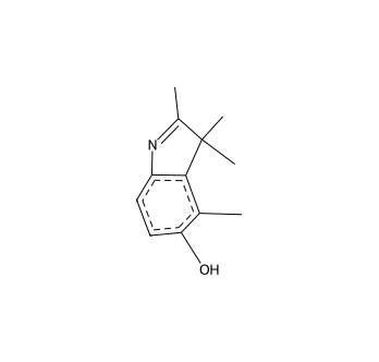 CC1=Nc2ccc(O)c(C)c2C1(C)C